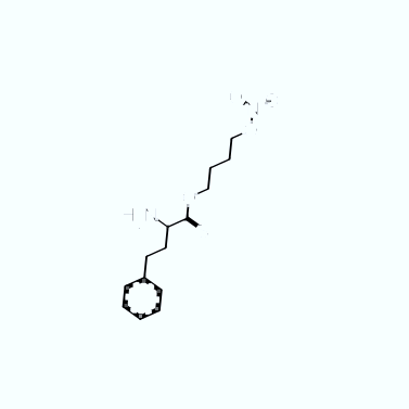 NC(CCc1ccccc1)C(=S)OCCCCO[N+](=O)[O-]